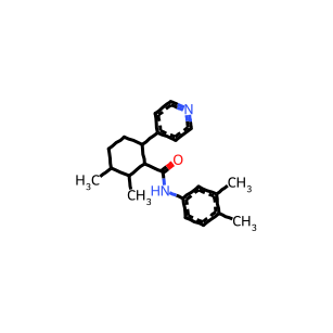 Cc1ccc(NC(=O)C2C(c3ccncc3)CCC(C)C2C)cc1C